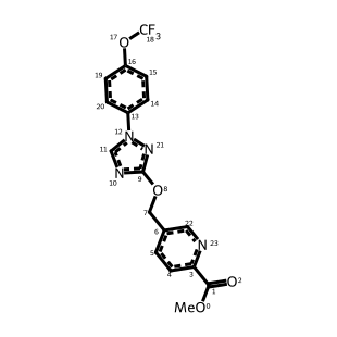 COC(=O)c1ccc(COc2ncn(-c3ccc(OC(F)(F)F)cc3)n2)cn1